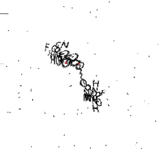 Cn1ncnc1[C@H]1c2n[nH]c(=O)c3cc(F)cc(c23)N[C@@H]1c1ccc(OCCCCCCOc2ccc(S(=O)(=O)CC(C)(O)C(=O)Nc3ccc(C#N)c(C(F)(F)F)c3)cc2)cc1